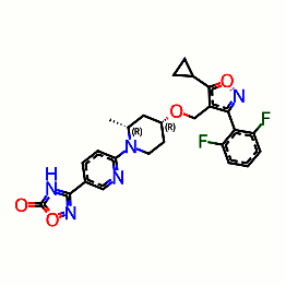 C[C@@H]1C[C@H](OCc2c(-c3c(F)cccc3F)noc2C2CC2)CCN1c1ccc(-c2noc(=O)[nH]2)cn1